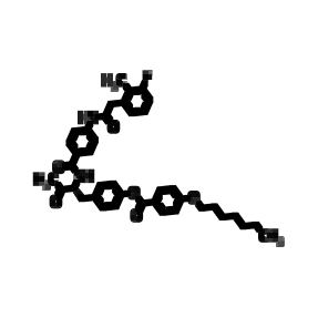 CCCCCCCOc1ccc(C(=O)Oc2ccc(C[C@H](NC(=O)c3ccc(NC(=O)Cc4cccc(F)c4C)cc3)C(C)=O)cc2)cc1